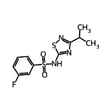 CC(C)c1nsc(NS(=O)(=O)c2cccc(F)c2)n1